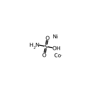 NS(=O)(=O)O.[Co].[Ni]